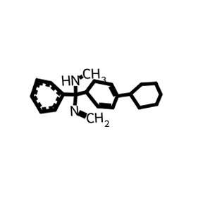 C=NC(NC)(c1ccccc1)C1C=CC(C2CCCCC2)=CC1